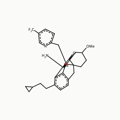 COC1CCC2(CC1)Cc1ccc(CCC3CC3)cc1C21N=C(N)N(Cc2ccc(C(F)(F)F)cn2)C1=O